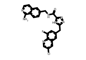 Nc1nccc2cc(CNC(=O)c3nnc(Cc4cc(F)c5ncc(Cl)cc5c4)[nH]3)ccc12